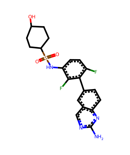 Nc1ncc2cc(-c3c(F)ccc(NS(=O)(=O)C4CCC(O)CC4)c3F)ccc2n1